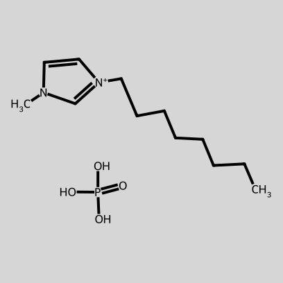 CCCCCCCC[n+]1ccn(C)c1.O=P(O)(O)O